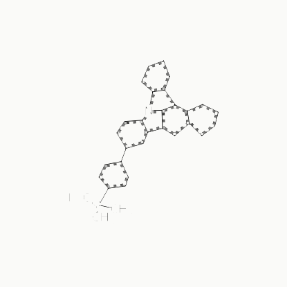 C[Si](C)(C)c1ccc(-c2ccc3c(c2)c2cc4ccccc4c4c5ccccc5n3c24)cc1